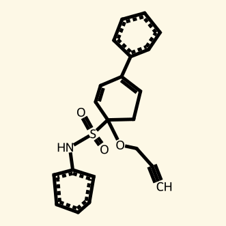 C#CCOC1(S(=O)(=O)Nc2ccccc2)C=CC(c2ccccc2)=CC1